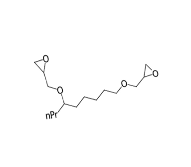 CCCC(CCCCCOCC1CO1)OCC1CO1